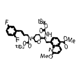 COC(=O)c1ccc(C[C@H](NC(=O)OC(C)(C)C)[C@@H]2CC[C@@H](N(CC=Cc3cc(F)ccc3F)C(=O)OC(C)(C)C)CO2)c2nc(OC)ccc12